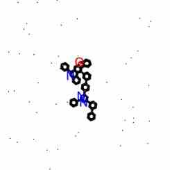 c1ccc(-c2cccc(-c3cc(-c4ccc(-c5cccc(-c6c7c(cc8c(-c9ccccc9)nc9ccccc9c68)oc6ccccc67)c5)cc4)nc(-c4ccccc4)n3)c2)cc1